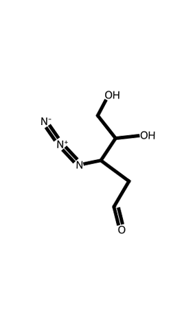 [N-]=[N+]=NC(CC=O)C(O)CO